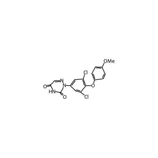 COc1ccc(Oc2c(Cl)cc(-n3ncc(=O)[nH]c3=O)cc2Cl)cc1